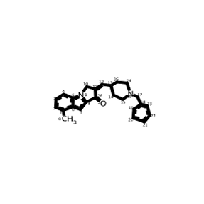 Cc1cccc2c1cc1n2C/C(=C/C2CCN(Cc3ccccc3)CC2)C1=O